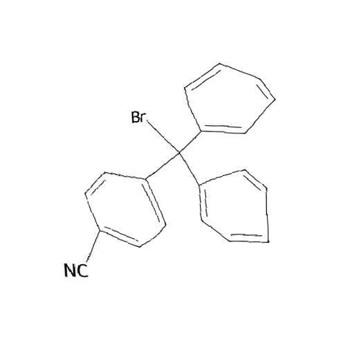 N#Cc1ccc(C(Br)(c2ccccc2)c2ccccc2)cc1